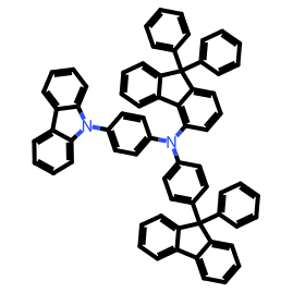 c1ccc(C2(c3ccc(N(c4ccc(-n5c6ccccc6c6ccccc65)cc4)c4cccc5c4-c4ccccc4C5(c4ccccc4)c4ccccc4)cc3)c3ccccc3-c3ccccc32)cc1